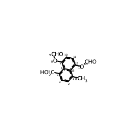 Cc1ccc(C(=O)O)c2c(OC=O)ccc(OC=O)c12